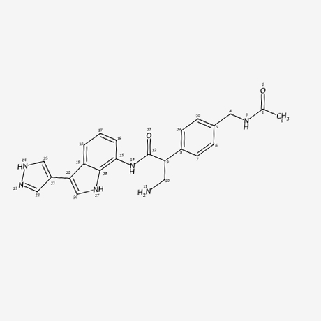 CC(=O)NCc1ccc(C(CN)C(=O)Nc2cccc3c(-c4cn[nH]c4)c[nH]c23)cc1